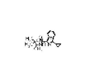 C[C@@H](NC(=O)c1nc(C2CC2)n2ccccc12)C(C)(C)C